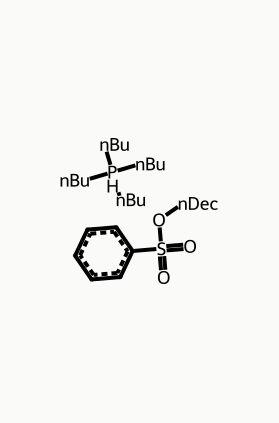 CCCCCCCCCCOS(=O)(=O)c1ccccc1.CCCC[PH](CCCC)(CCCC)CCCC